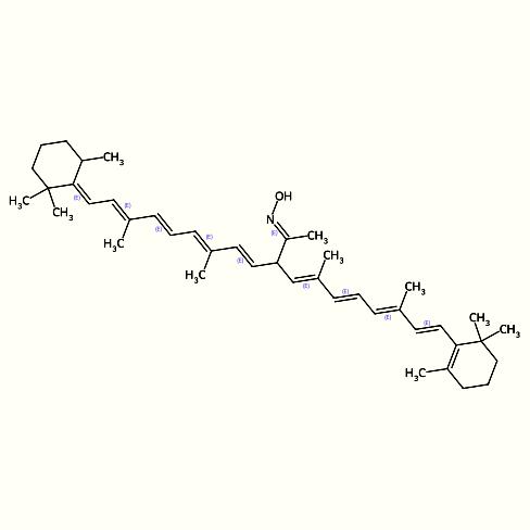 CC1=C(/C=C/C(C)=C/C=C/C(C)=C/C(/C=C/C(C)=C/C=C/C(C)=C/C=C2\C(C)CCCC2(C)C)/C(C)=N/O)C(C)(C)CCC1